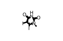 Cn1c(I)c(I)c(=O)[nH]c1=O